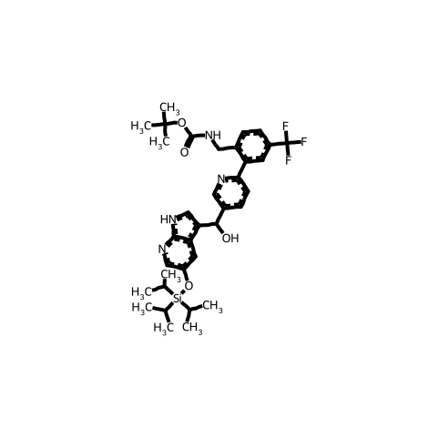 CC(C)[Si](Oc1cnc2[nH]cc(C(O)c3ccc(-c4cc(C(F)(F)F)ccc4CNC(=O)OC(C)(C)C)nc3)c2c1)(C(C)C)C(C)C